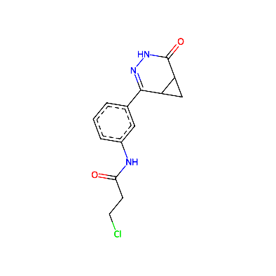 O=C(CCCl)Nc1cccc(C2=NNC(=O)C3CC23)c1